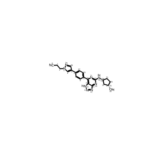 N#CCCn1cc(-c2ccc(-c3nc(N[C@H]4CC[C@H](O)C4)nc4nn[nH]c34)cc2)cn1